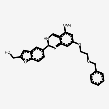 COc1cc(OCCOCc2ccccc2)cc2c1=CNC(c1ccc3oc(CO)cc3c1)N=2